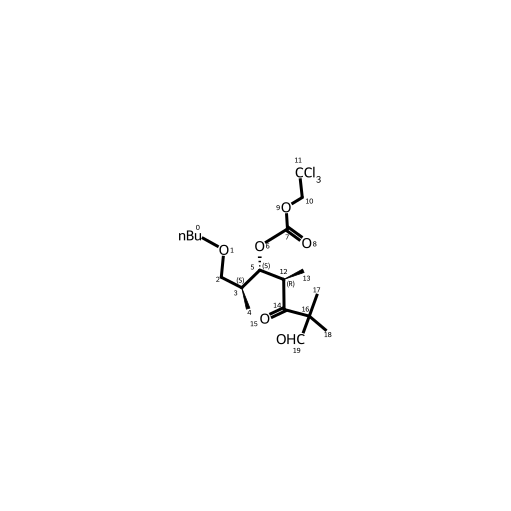 CCCCOC[C@H](C)[C@H](OC(=O)OCC(Cl)(Cl)Cl)[C@@H](C)C(=O)C(C)(C)C=O